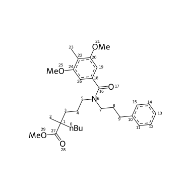 CCCCC(C)(CCCN(CCCc1ccccc1)C(=O)c1cc(OC)c(C)c(OC)c1)C(=O)OC